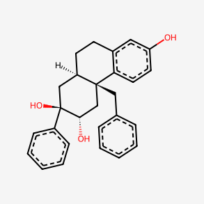 Oc1ccc2c(c1)CC[C@@H]1C[C@@](O)(c3ccccc3)[C@@H](O)C[C@@]21Cc1ccccc1